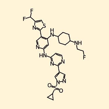 O=S(=O)(C1CC1)n1cc(-c2nccc(Nc3cc(NC4CCC(NCCF)CC4)c(-c4nc(C(F)F)cs4)cn3)n2)cn1